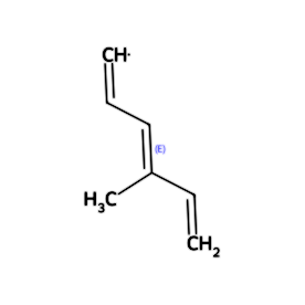 [CH]=C/C=C(\C)C=C